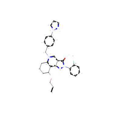 C=CCOC1CCCc2c1c1nn(-c3ccccc3F)c(=O)c-1cn2Cc1ccc(-n2cccn2)cc1